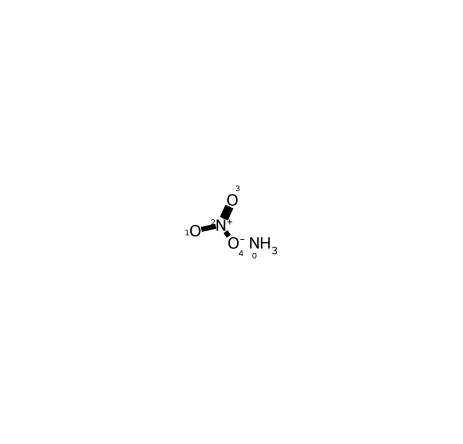 N.[O][N+](=O)[O-]